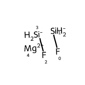 F[SiH2-].F[SiH2-].[Mg+2]